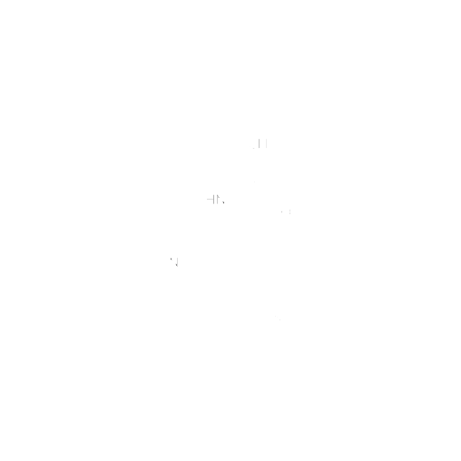 CC(=O)Nc1cc([S])ccn1